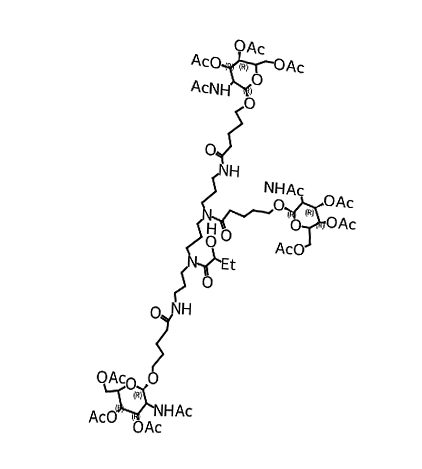 CCC(O)C(=O)N(CCCNC(=O)CCCCO[C@@H]1OC(COC(C)=O)[C@H](OC(C)=O)[C@H](OC(C)=O)C1NC(C)=O)CCCN(CCCNC(=O)CCCCO[C@@H]1OC(COC(C)=O)[C@H](OC(C)=O)[C@H](OC(C)=O)C1NC(C)=O)C(=O)CCCCO[C@@H]1OC(COC(C)=O)[C@H](OC(C)=O)[C@H](OC(C)=O)C1NC(C)=O